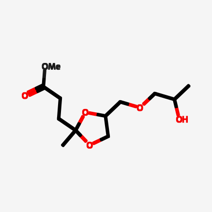 COC(=O)CCC1(C)OCC(COCC(C)O)O1